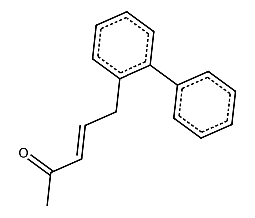 CC(=O)C=CCc1ccccc1-c1ccccc1